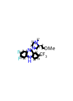 COCC[C@H]1CN(C2=Nc3cc(F)c(F)cc3Nc3ccc(C(F)(F)F)cc32)CCN1C